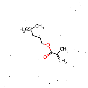 C=C(C)C(=O)OCCC[Si](C)C